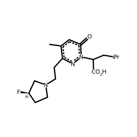 Cc1cc(=O)n(C(CC(C)C)C(=O)O)nc1CCN1CC[C@@H](F)C1